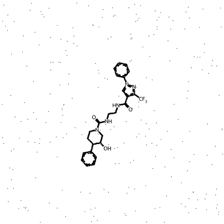 O=C(NCCNC(=O)N1CCC(c2ccccc2)C(O)C1)c1cn(-c2ccccc2)nc1C(F)(F)F